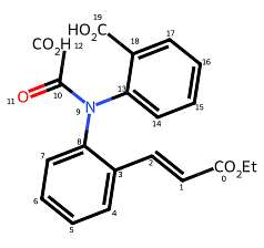 CCOC(=O)C=Cc1ccccc1N(C(=O)C(=O)O)c1ccccc1C(=O)O